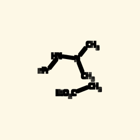 CCCNN(C)C.CCOC(C)=O